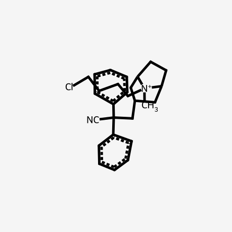 C[N+]1(CCCCCl)C2CCC1CC(CC(C#N)(c1ccccc1)c1ccccc1)C2